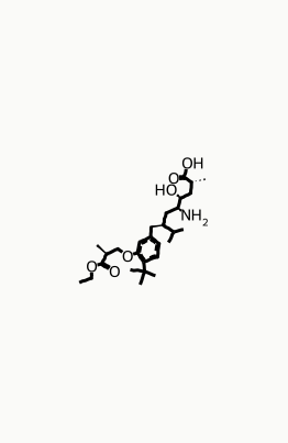 CCOC(=O)[C@@H](C)COc1cc(C[C@@H](C[C@H](N)[C@@H](O)C[C@@H](C)C(=O)O)C(C)C)ccc1C(C)(C)C